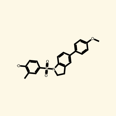 COc1ccc(-c2ccc3c(c2)CCN3S(=O)(=O)c2ccc([O])c(C)c2)cc1